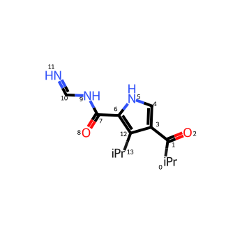 CC(C)C(=O)c1c[nH]c(C(=O)NC=N)c1C(C)C